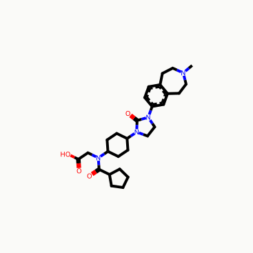 CN1CCc2ccc(N3CCN(C4CCC(N(CC(=O)O)C(=O)C5CCCC5)CC4)C3=O)cc2CC1